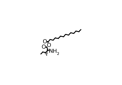 CCCCCCCCCCCCCC(=O)OC(=O)[C@@H](N)[C@@H](C)CC